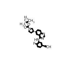 C#Cc1ccc(F)c(Nc2ncnc3ccc([C@@H]4CCN(C(=O)OC(C)(C)C)C4)cc23)c1